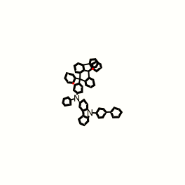 c1ccc(-c2ccc(-n3c4ccccc4c4cc(N(c5ccccc5)c5ccc(C6(c7ccccc7)c7ccccc7C7(c8ccccc8)c8ccccc8-c8cccc6c87)cc5)ccc43)cc2)cc1